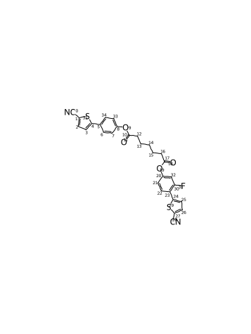 N#Cc1ccc(-c2ccc(OC(=O)CCCCCC(=O)Oc3ccc(-c4ccc(C#N)s4)c(F)c3)cc2)s1